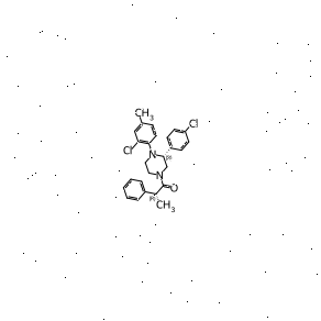 Cc1ccc(N2CCN(C(=O)[C@H](C)c3ccccc3)C[C@H]2c2ccc(Cl)cc2)c(Cl)c1